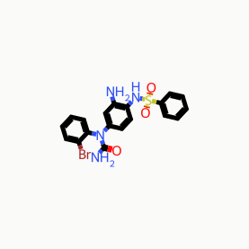 NC(=O)N(c1ccc(NS(=O)(=O)c2ccccc2)c(N)c1)c1ccccc1Br